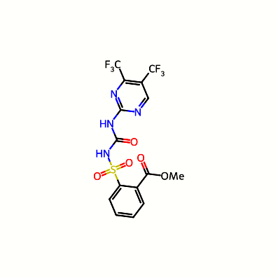 COC(=O)c1ccccc1S(=O)(=O)NC(=O)Nc1ncc(C(F)(F)F)c(C(F)(F)F)n1